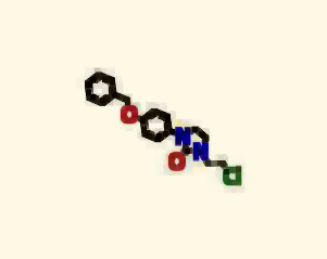 O=C1N(CCCl)CCN1c1ccc(OCc2ccccc2)cc1